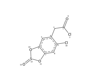 O=C(Cl)Cc1cc2c(cc1Cl)OS(=O)O2